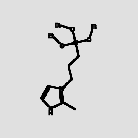 CCO[Si](CCC[n+]1cc[nH]c1C)(OCC)OCC